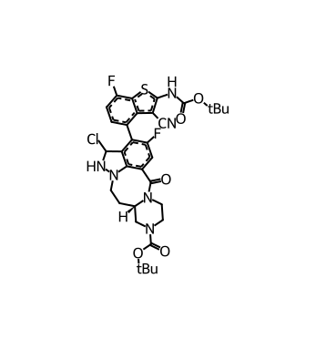 CC(C)(C)OC(=O)Nc1sc2c(F)ccc(-c3c(F)cc4c5c3C(Cl)NN5CC[C@H]3CN(C(=O)OC(C)(C)C)CCN3C4=O)c2c1C#N